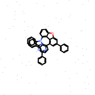 c1ccc(-c2cc(-c3nc(-c4ccccc4)nc(-c4ccccc4)n3)c3c(c2)oc2cccc(-n4c5ccccc5c5ccccc54)c23)cc1